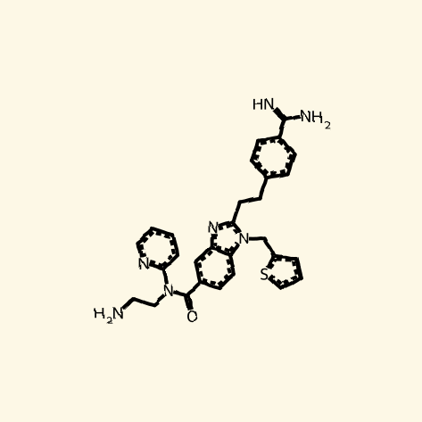 N=C(N)c1ccc(CCc2nc3cc(C(=O)N(CCN)c4ccccn4)ccc3n2Cc2cccs2)cc1